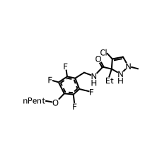 CCCCCOc1c(F)c(F)c(CNC(=O)C2(CC)NN(C)C=C2Cl)c(F)c1F